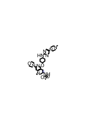 C=Nc1cc(N2CCOCC2)nc(O[C@H]2CC[C@@H](Nc3ncc(N4CCN(C)CC4)cn3)CC2)c1/C=C(\C)NS(C)(=O)=O